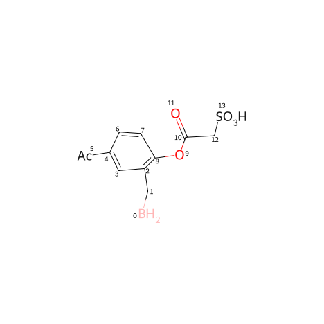 BCc1cc(C(C)=O)ccc1OC(=O)CS(=O)(=O)O